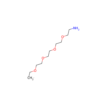 [CH2]COCCOCCOCCOCCN